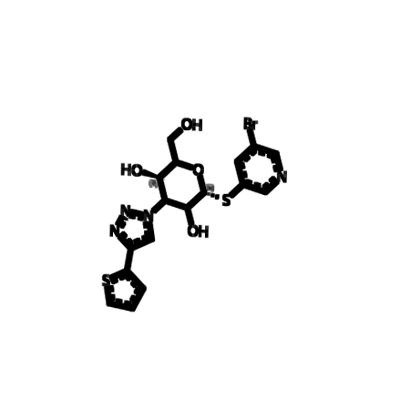 OCC1O[C@H](Sc2cncc(Br)c2)C(O)C(n2cc(-c3cccs3)nn2)[C@H]1O